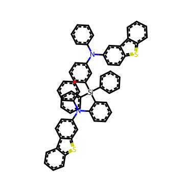 c1ccc(N(c2cccc([Si](c3ccccc3)(c3ccccc3)c3ccccc3N(c3ccccc3)c3ccc4c(c3)sc3ccccc34)c2)c2ccc3sc4ccccc4c3c2)cc1